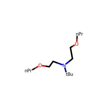 CCCOCCN(CCOCCC)C(C)(C)C